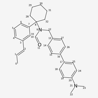 C/C=C/c1cccc(C2(N(C=O)Cc3ccc(-c4ccc(N(C)C)cc4)cc3)CCCCC2)c1